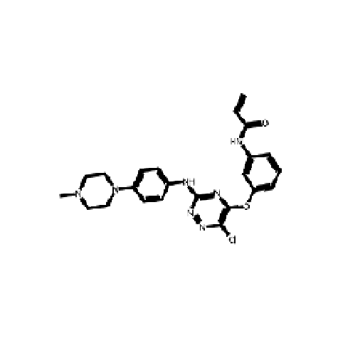 C=CC(=O)Nc1cccc(Oc2nc(Nc3ccc(N4CCN(C)CC4)cc3)nnc2Cl)c1